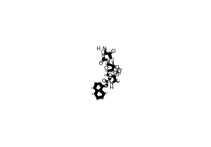 CC(C)OC(=O)[C@@H](C)NP(=O)(OC[C@H]1O[C@@H](n2cc(Cl)c(N)nc2=O)[C@](C)(Cl)[C@@H]1O)Oc1cccc2ccccc12